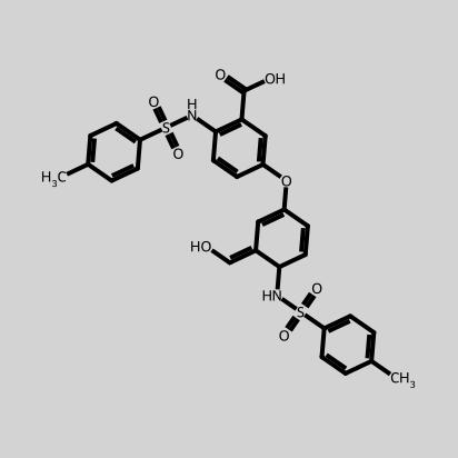 Cc1ccc(S(=O)(=O)Nc2ccc(OC3=CC(=CO)C(NS(=O)(=O)c4ccc(C)cc4)C=C3)cc2C(=O)O)cc1